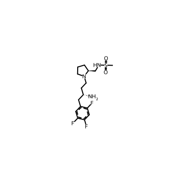 CS(=O)(=O)NC[C@@H]1CCCN1CC[C@H](N)Cc1cc(F)c(F)cc1F